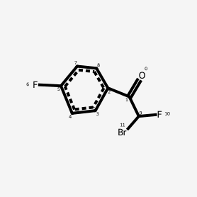 O=C(c1ccc(F)cc1)C(F)Br